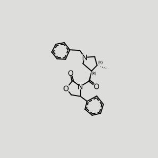 C[C@H]1CN(Cc2ccccc2)C[C@@H]1C(=O)N1C(=O)OCC1c1ccccc1